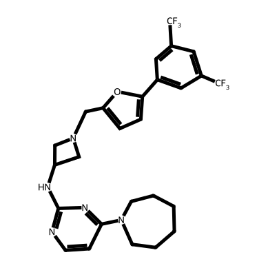 FC(F)(F)c1cc(-c2ccc(CN3CC(Nc4nccc(N5CCCCCC5)n4)C3)o2)cc(C(F)(F)F)c1